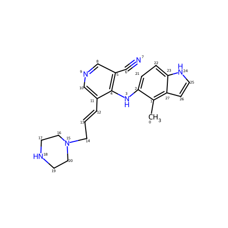 Cc1c(Nc2c(C#N)cncc2C=CCN2CCNCC2)ccc2[nH]ccc12